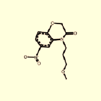 COCCCN1C(=O)COc2ccc([N+](=O)[O-])cc21